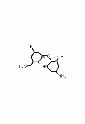 NCC1CC(F)C[C@@H](O[C@@H]2NCC(N)CC2O)O1